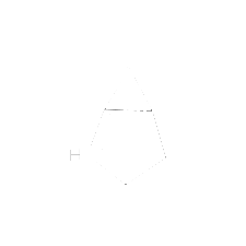 C1CC2SC2P1